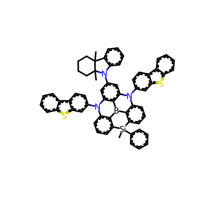 CC12CCCCC1(C)N(c1cc3c4c(c1)N(c1ccc5c(c1)sc1ccccc15)c1cccc5c1B4c1c(cccc1[Si]5(C)c1ccccc1)N3c1ccc3c(c1)sc1ccccc13)c1ccccc12